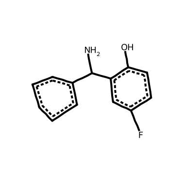 NC(c1ccccc1)c1cc(F)ccc1O